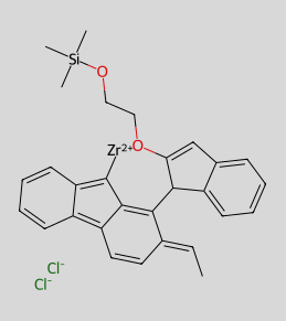 CC=c1ccc2c(c1C1C(OCCO[Si](C)(C)C)=Cc3ccccc31)[C]([Zr+2])=c1ccccc1=2.[Cl-].[Cl-]